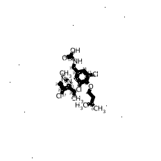 CC(C)CCOc1c(Cl)cc(CNC(=O)O)cc1Cl.CCc1nn(C)cc1Cl